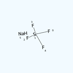 F[Si](F)(F)F.[NaH]